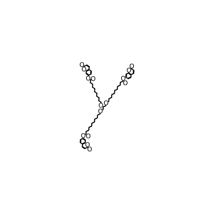 O=C(CCCCCCCCCCOCC(COCCCCCCCCCCC(=O)Oc1ccc2ccc(=O)oc2c1)OCCCCCCCCCCC(=O)Oc1ccc2ccc(=O)oc2c1)Oc1ccc2ccc(=O)oc2c1